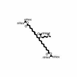 CCCCCCCC(=O)N(CCCN(C)C)C(CC/C=C/CCCCC(=O)OC(CCCCCC)CCCCCC)CCCCCCCCC(=O)OC(CCCCCC)CCCCCC